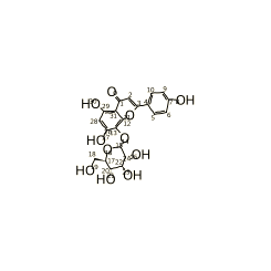 O=c1cc(-c2ccc(O)cc2)oc2c(OC3O[C@H](CO)[C@@H](O)[C@H](O)[C@H]3O)c(O)cc(O)c12